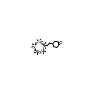 C[Si]1(C)O[Si](C)(C)O[Si](C)(C)O[Si](C)(CCC2CCC3OC3C2)O[Si](C)(C)O1